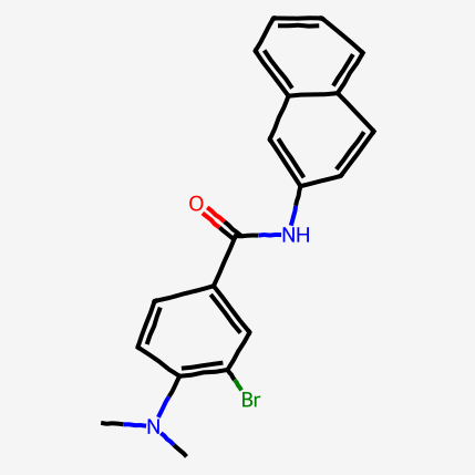 CN(C)c1ccc(C(=O)Nc2ccc3ccccc3c2)cc1Br